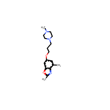 Cc1nc2c(C)cc(OCCCN3CCN(C)CC3)cc2o1